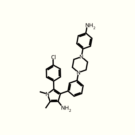 Cc1c(N)c(-c2cccc(N3CCN(c4ccc(N)cc4)CC3)c2)c(-c2ccc(Cl)cc2)n1C